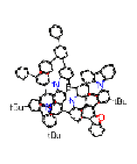 CC(C)(C)c1cc(-c2cccc3c2oc2ccccc23)c(-c2ccc3c(c2)N(c2c(-c4ccccc4)cccc2-c2ccccc2)c2cc(-n4c5ccc(C(C)(C)C)cc5c5cc(C(C)(C)C)ccc54)cc4c2B3c2ccc(-c3ccc(-c5ccccc5)cc3-c3ccccc3)cc2N4c2ccc(-c3ccccc3)cc2-c2ccccc2)c(-n2c3ccccc3c3ccccc32)c1